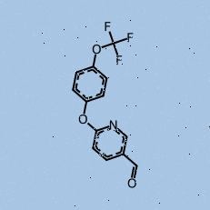 O=Cc1ccc(Oc2ccc(OC(F)(F)F)cc2)nc1